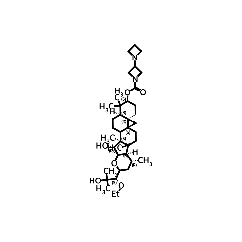 CCO[C@@H](C1C[C@@H](C)[C@H]2C(O1)[C@H](O)[C@@]1(C)C3CC[C@H]4C(C)(C)[C@@H](OC(=O)N5CC(N6CCC6)C5)CC[C@@]45C[C@@]35CC[C@]21C)C(C)(C)O